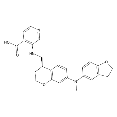 CN(c1ccc2c(c1)CCO2)c1ccc2c(c1)OCC[C@H]2CNc1cnccc1C(=O)O